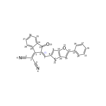 N#CC(C#N)=C1/C(=C/c2cc3oc(-c4ccccc4)cc3s2)C(=O)c2ccccc21